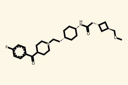 COC[C@H]1C[C@H](CC(=O)N[C@H]2CC[C@@H](CCN3CCC(C(=O)c4ccc(F)cc4)CC3)CC2)C1